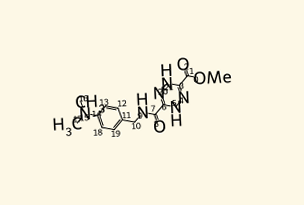 COC(=O)C1=NNC(C(=O)NCc2ccc(N(C)C)cc2)=NN1